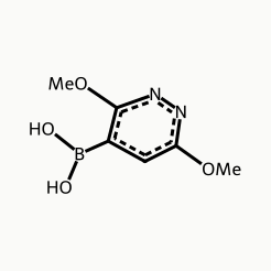 COc1cc(B(O)O)c(OC)nn1